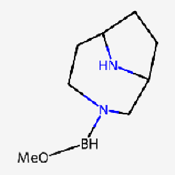 COBN1CCC2CCC(C1)N2